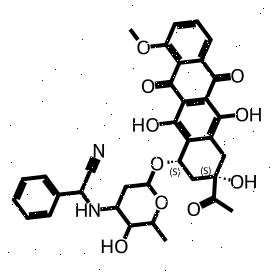 COc1cccc2c1C(=O)c1c(O)c3c(c(O)c1C2=O)C[C@@](O)(C(C)=O)C[C@@H]3OC1CC(NC(C#N)c2ccccc2)C(O)C(C)O1